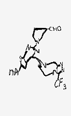 CCCc1cc2c(N3CCn4c(nnc4C(F)(F)F)C3)nc(N3CC[C@H](C=O)C3)nc2s1